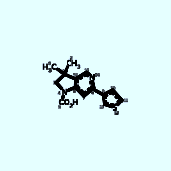 CC1(C)CN(C(=O)O)c2cc(-c3ccsc3)ncc21